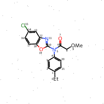 CCc1ccc(N(C(=O)COC)c2nc3cc(Cl)ccc3o2)cc1